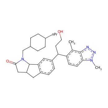 CCCC1CCC(CN2C(=O)CC3Cc4ccc(C(CCO)c5ccc6c(nnn6C)c5C)cc4C32)CC1